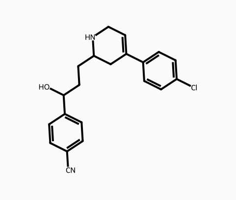 N#Cc1ccc(C(O)CCC2CC(c3ccc(Cl)cc3)=CCN2)cc1